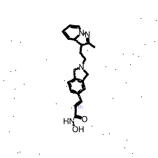 CC1=NN2C=CC=CC2C1CCN1Cc2ccc(/C=C/C(=O)NO)cc2C1